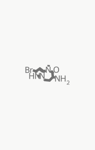 CN1C(=O)C(N)CCN2NC(Br)C=C21